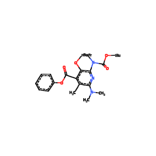 CCCCOc1c(N(CCC)C(=O)OC(C)(C)C)nc(N(C)C)c(C)c1C(=O)Oc1ccccc1